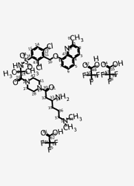 Cc1ccc2cccc(OCc3c(Cl)ccc(S(=O)(=O)NC(C)(C)C(=O)N4CCN(C(=O)C[C@@H](N)CCCN(C)C)CC4)c3Cl)c2n1.O=C(O)C(F)(F)F.O=C(O)C(F)(F)F.O=C(O)C(F)(F)F